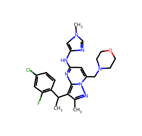 Cc1nn2c(CN3CCOCC3)cc(Nc3cn(C)cn3)nc2c1C(C)c1ccc(Cl)cc1F